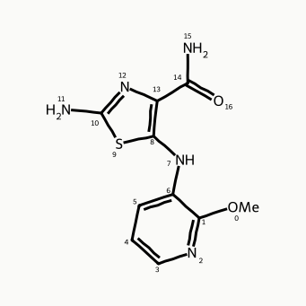 COc1ncccc1Nc1sc(N)nc1C(N)=O